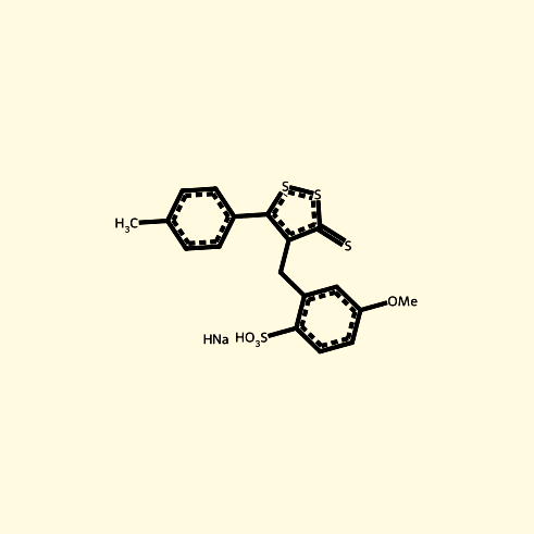 COc1ccc(S(=O)(=O)O)c(Cc2c(-c3ccc(C)cc3)ssc2=S)c1.[NaH]